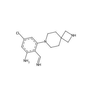 N=Cc1c(N)cc(Cl)cc1N1CCC2(CC1)CNC2